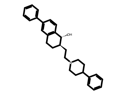 O[C@H]1c2ccc(-c3ccccc3)cc2CC[C@@H]1CCN1CCC(c2ccccc2)CC1